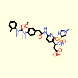 COc1cc(CC(=O)Nc2ccc(C(CC(=O)O)NS(=O)(=O)C3CN(C)C=N3)cn2)ccc1NC(=O)Nc1ccccc1C